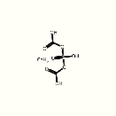 O=C(O)OP(=O)(O)OC(=O)O.[CaH2]